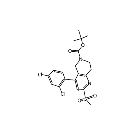 CC(C)(C)OC(=O)N1CCc2nc(S(C)(=O)=O)nc(-c3ccc(Cl)cc3Cl)c2C1